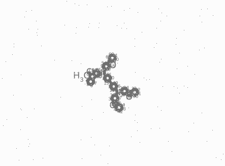 CC1(C)c2ccccc2-c2cc(N(c3ccc(-c4ccc(N(c5ccc6c(c5)oc5ccccc56)c5ccc6oc7ccccc7c6c5)cc4)cc3)c3ccc4c(c3)oc3ccccc34)ccc21